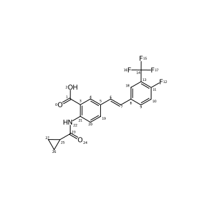 O=C(O)c1cc(/C=C/c2ccc(F)c(C(F)(F)F)c2)ccc1NC(=O)C1CC1